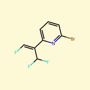 FC=C(c1cccc(Br)n1)C(F)F